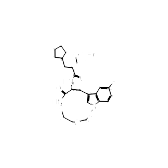 CCOC(=O)C[C@@H](CC1CCCC1)C(=O)N[C@H]1Cc2cn(c3ccc(F)cc23)CCCCCCNC1=O